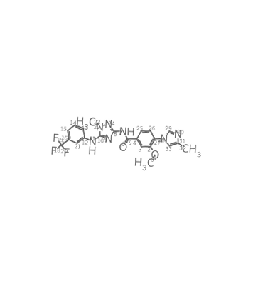 COc1cc(C(=O)Nc2nc(Nc3cccc(C(F)(F)F)c3)n(C)n2)ccc1-n1cnc(C)c1